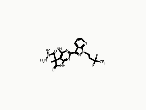 CC(=O)N(N)C(=O)C1(C)C(=O)Nc2nc(-c3nn(CCC(F)(F)C(F)(F)F)c4ncccc34)nc(N)c21